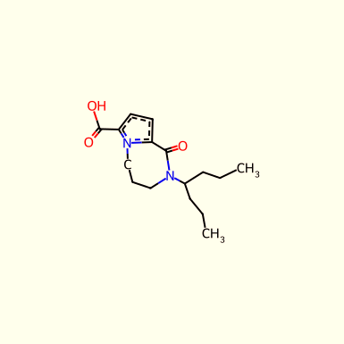 CCCC(CCC)N1CCCn2c(C(=O)O)ccc2C1=O